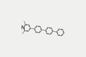 Cc1cc(-c2ccc(-c3ccc(-c4ccccc4)cc3)cc2)cc(C)n1